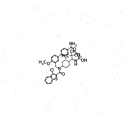 COc1ccc(-c2ccc(C(N)=O)cc2)cc1CN(C(=O)c1sc2ccccc2c1Cl)C1CCC(C(NC(=O)O)C(C)(C)C)CC1